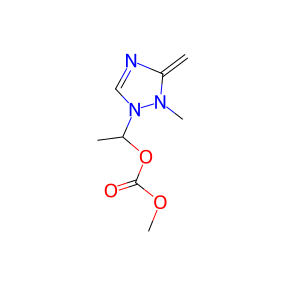 C=C1N=CN(C(C)OC(=O)OC)N1C